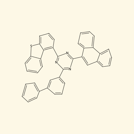 c1ccc(-c2cccc(-c3nc(-c4cc5ccccc5c5ccccc45)nc(-c4cccc5sc6ccccc6c45)n3)c2)cc1